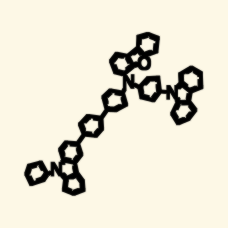 c1ccc(-n2c3ccccc3c3cc(-c4ccc(-c5ccc(N(c6ccc(-n7c8ccccc8c8ccccc87)cc6)c6cccc7c6oc6ccccc67)cc5)cc4)ccc32)cc1